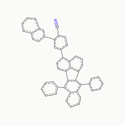 N#Cc1ccc(-c2ccc3c4c(cccc24)-c2c-3c(-c3ccccc3)c3ccccc3c2-c2ccccc2)cc1-c1ccc2ccccc2c1